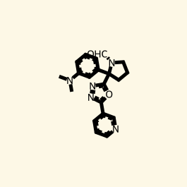 CN(C)c1cccc(C2(c3nnc(-c4cccnc4)o3)CCCN2C=O)c1